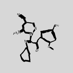 COc1cc(F)ccc1C(=O)/C(=N\C1CCCC1)n1ncc(C#N)c1N